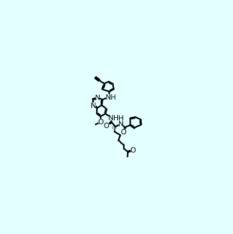 C#Cc1cccc(Nc2ncnc3cc(OC)c(NC(=O)[C@H](CCCCCC(C)=O)NC(=O)c4ccccc4)cc23)c1